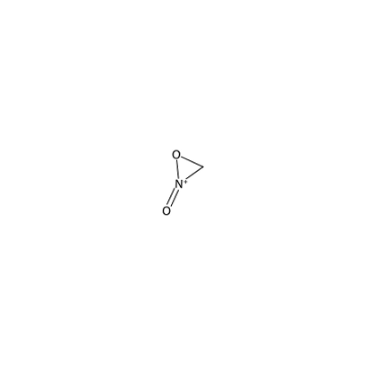 O=[N+]1CO1